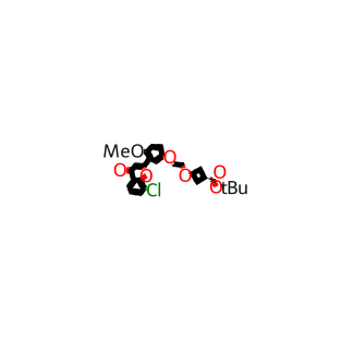 COc1ccc(OCCO[C@H]2C[C@@H](C(=O)OC(C)(C)C)C2)cc1-c1cc(=O)c2cccc(Cl)c2o1